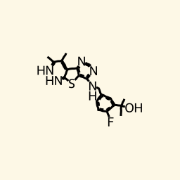 CC(=N)/C(C)=C1\C(=N)Sc2c(NCc3ccc(F)c(C(C)(C)O)c3)ncnc21